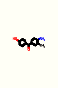 Cc1cc(C(=O)c2ccc(O)cc2)ccc1N